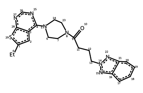 CCc1cc2c(N3CCN(C(=O)CCCn4nc5ccccc5n4)CC3)ncnc2s1